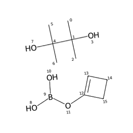 CC(C)(O)C(C)(C)O.OB(O)OC1=CCC1